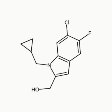 OCc1cc2cc(F)c(Cl)cc2n1CC1CC1